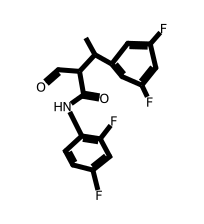 CC(c1cc(F)cc(F)c1)C(C=O)C(=O)Nc1ccc(F)cc1F